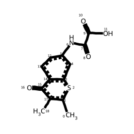 Cc1sc2cc(NC(=O)C(=O)O)ccc2c(=O)c1C